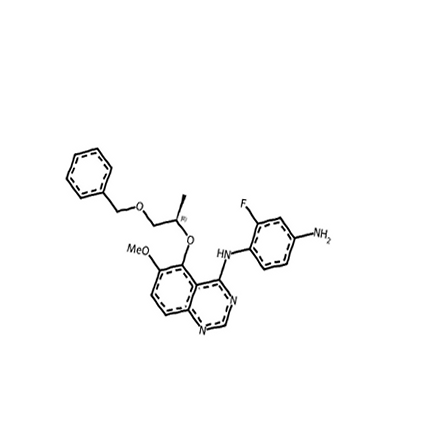 COc1ccc2ncnc(Nc3ccc(N)cc3F)c2c1O[C@H](C)COCc1ccccc1